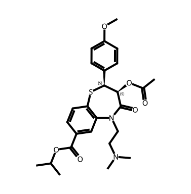 COc1ccc([C@@H]2Sc3ccc(C(=O)OC(C)C)cc3N(CCN(C)C)C(=O)[C@@H]2OC(C)=O)cc1